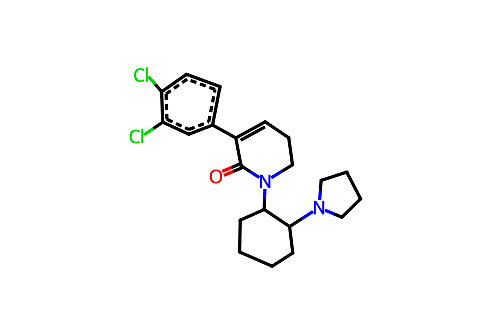 O=C1C(c2ccc(Cl)c(Cl)c2)=CCCN1C1CCCCC1N1CCCC1